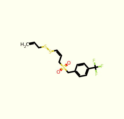 C=CCSS/C=C\CS(=O)(=O)Cc1ccc(C(F)(F)F)cc1